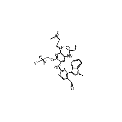 C=CC(=O)Nc1cc(Nc2ncc(C=O)c(-c3cn(C)c4ccccc34)n2)c(OCC(F)(F)F)nc1N(C)CCN(C)C